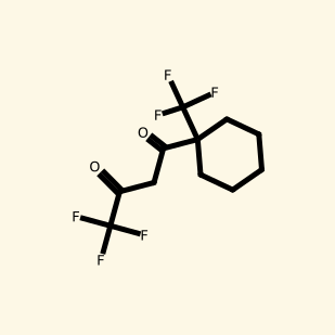 O=C(CC(=O)C1(C(F)(F)F)CCCCC1)C(F)(F)F